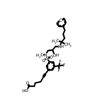 CN(CC(O)CNC(C)(C)CCCc1ccccc1)S(=O)(=O)c1cc(C#CCCCC(=O)O)cc(C(F)(F)F)c1